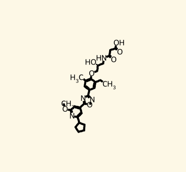 CCc1cc(-c2noc(-c3cc(OC)nc(C4CCCC4)c3)n2)cc(C)c1OC[C@@H](O)CNC(=O)CC(=O)O